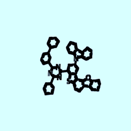 c1ccc(-c2cccc(-c3nc(-c4ccccc4)nc(-c4cc(-n5c6ccccc6c6ccccc65)cc5c4sc4ccc6c7ccccc7oc6c45)n3)c2)cc1